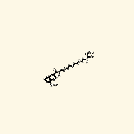 CSc1cccc2cc(C(=O)NCCOCCOCCOCCNC(=O)OC(C)(C)C)cnc12